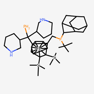 CC(C)(C)P(C[C]12[C]3(C(P)(C4CCCNC4)C4CCCNC4)[CH]4[C]5([Si](C)(C)C)[C]1([Si](C)(C)C)[Fe]42351678[CH]2[CH]1[CH]6[CH]7[CH]28)C1C2CC3CC(C2)CC1C3